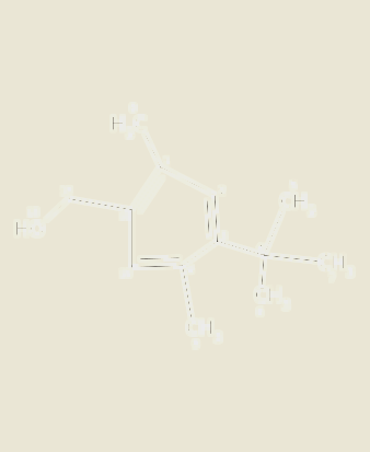 Cc1cc(C(C)(C)C)c(C)cc1CO